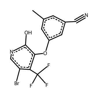 Cc1cc(C#N)cc(Oc2c(O)ncc(Br)c2C(F)(F)F)c1